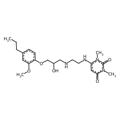 CCCc1ccc(OCC(O)CNCCNc2cc(=O)n(C)c(=O)n2C)c(OC)c1